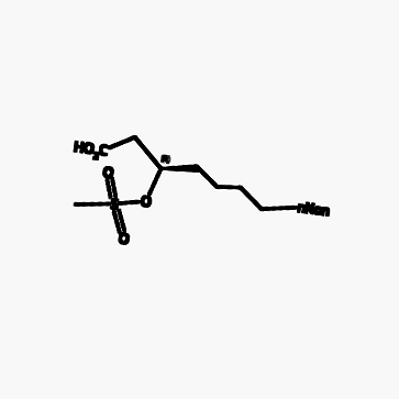 CCCCCCCCCCCCC[C@H](CC(=O)O)OS(C)(=O)=O